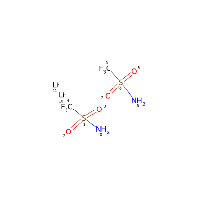 NS(=O)(=O)C(F)(F)F.NS(=O)(=O)C(F)(F)F.[Li].[Li]